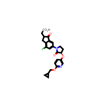 O=C(O)CC1Cc2c(F)cc(N3CC[C@@H](Oc4ccc(OCC5CC5)nc4)C3=O)cc2C1=O